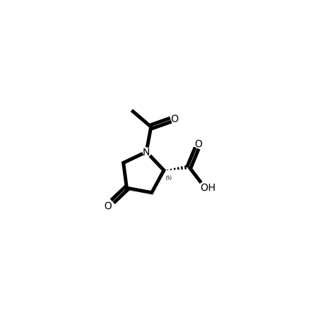 CC(=O)N1CC(=O)C[C@H]1C(=O)O